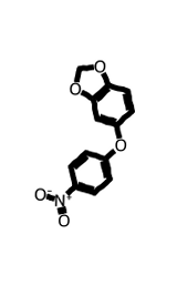 O=[N+]([O-])c1ccc(Oc2ccc3c(c2)OCO3)cc1